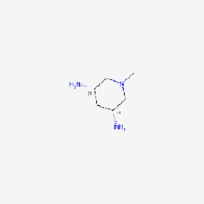 CN1C[C@H](N)C[C@H](N)C1